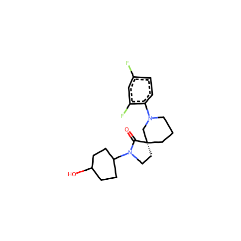 O=C1N(C2CCC(O)CC2)CC[C@]12CCCN(c1ccc(F)cc1F)C2